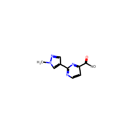 Cn1cc(-c2nccc(C(=O)N=O)n2)cn1